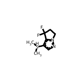 C[SH](C)c1cnn2c1C(F)(F)CC2